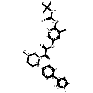 Cc1cc(NC(=O)C(=O)N2C[C@H](C)CC[C@H]2c2ccc(-c3ccn[nH]3)cc2)cnc1NC(=O)OC(C)(C)C